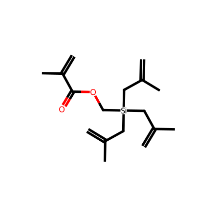 C=C(C)C[Si](COC(=O)C(=C)C)(CC(=C)C)CC(=C)C